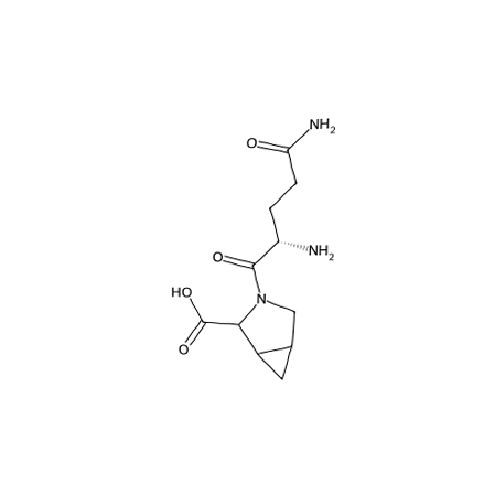 NC(=O)CC[C@H](N)C(=O)N1CC2CC2C1C(=O)O